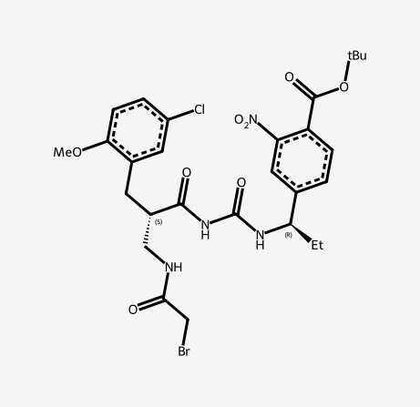 CC[C@@H](NC(=O)NC(=O)[C@H](CNC(=O)CBr)Cc1cc(Cl)ccc1OC)c1ccc(C(=O)OC(C)(C)C)c([N+](=O)[O-])c1